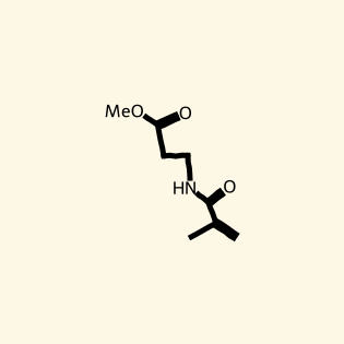 C=C(C)C(=O)NCCC(=O)OC